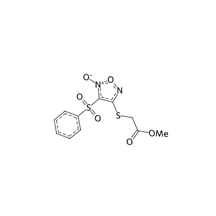 COC(=O)CSc1no[n+]([O-])c1S(=O)(=O)c1ccccc1